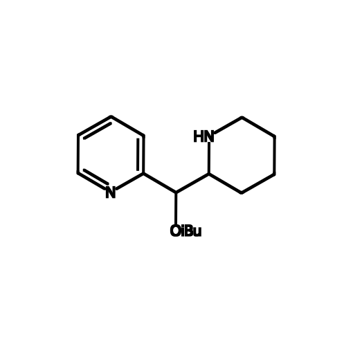 CC(C)COC(c1ccccn1)C1CCCCN1